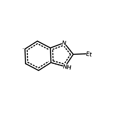 CCc1nc2c[c]ccc2[nH]1